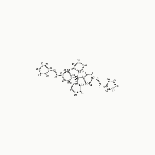 C(=C\c1ccc([Si](c2ccccc2)(c2ccccc2)c2ccc(/C=C/c3ccccc3)cc2)cc1)/c1ccccc1